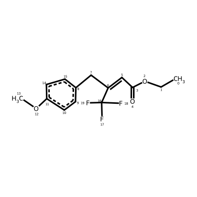 CCOC(=O)/C=C(/Cc1ccc(OC)cc1)C(F)(F)F